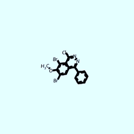 COc1c(Br)cc2c(-c3ccccc3)nnc(Cl)c2c1Br